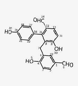 O=Cc1ccc(O)c(Cc2c(O)ccc(C=O)c2-c2ccc(O)cc2)c1